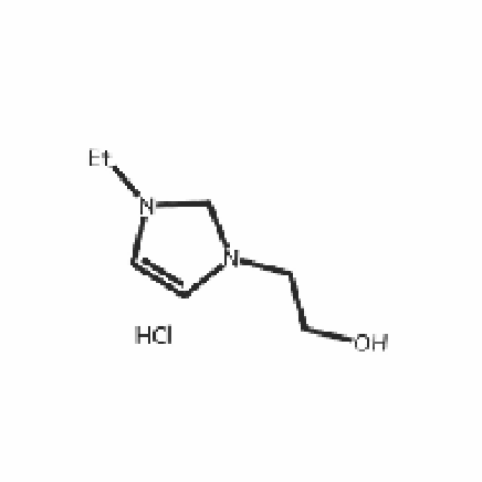 CCN1C=CN(CCO)C1.Cl